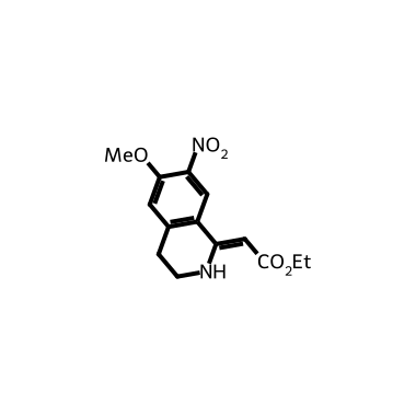 CCOC(=O)/C=C1\NCCc2cc(OC)c([N+](=O)[O-])cc21